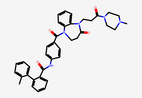 Cc1ccccc1-c1ccccc1C(=O)Nc1ccc(C(=O)N2CCC(=O)N(CCC(=O)N3CCN(C)CC3)c3ccccc32)cc1